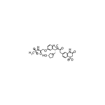 CN(C(=O)Cc1ccc2c(c1)NC(=O)CS2(=O)=O)[C@H](CN1CC[C@H](O)C1)c1cccc(OCC(=O)NS(C)(=O)=O)c1